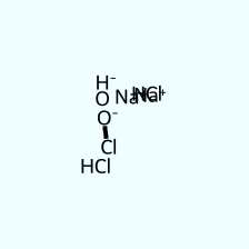 Cl.Cl.[Na+].[Na+].[O-]Cl.[OH-]